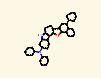 c1ccc(-c2cc3c4ccc5[nH]c6cc(N(c7ccccc7)c7ccccc7)ccc6c5c4oc3c3ccccc23)cc1